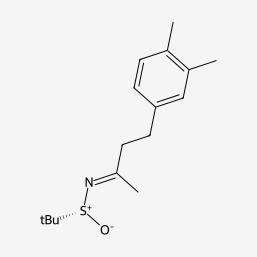 C/C(CCc1ccc(C)c(C)c1)=N\[S@+]([O-])C(C)(C)C